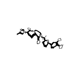 Cc1cn(-c2ccc3n(c2=O)CCN([C@@H](C)c2cccc(-c4ccc(Cl)c(Cl)c4)n2)C3=O)cn1